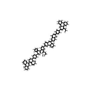 C=C(/C=C\CC)C1=C(c2cnc(-c3ccc(C4C=CC(c5cc6cccnc6c6ncccc56)=C5C=CC=NC54)cc3)c3ccccc23)C=CC(c2ccc3cc(-c4ccc5nc(-c6ccc(-c7cc(/C=C\C)c8c9ccccc9c9ccccc9c8n7)cc6)ccc5c4)c4cccnc4c3n2)C1